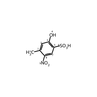 Cc1cc(O)c(S(=O)(=O)O)cc1[N+](=O)[O-]